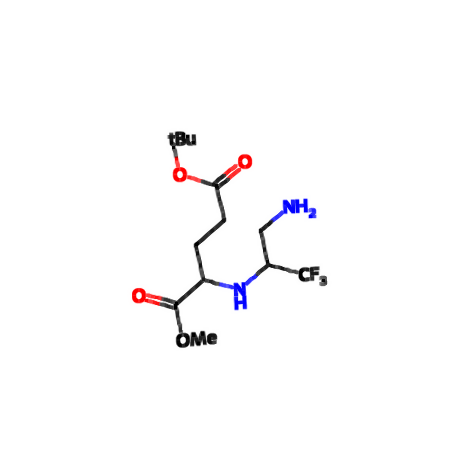 COC(=O)C(CCC(=O)OC(C)(C)C)NC(CN)C(F)(F)F